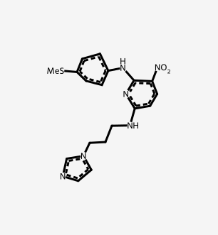 CSc1ccc(Nc2nc(NCCCn3ccnc3)ccc2[N+](=O)[O-])cc1